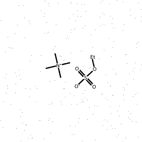 CCOS(=O)(=O)[O-].C[N+](C)(C)C